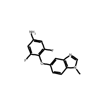 Cn1cnc2cc(Oc3c(F)cc(N)cc3F)ccc21